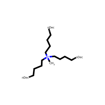 CCCCCCCCCCCCCC[N+](C)(CCCCCCCCCCCCCC)CCCCCCCCCCCCCC